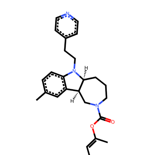 C/C=C(\C)OC(=O)N1CCC[C@H]2[C@@H](C1)c1cc(C)ccc1N2CCc1ccncc1